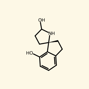 Oc1cccc2c1[C@]1(CC2)CCC(O)N1